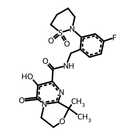 CC1(C)OCCn2c1nc(C(=O)NCc1ccc(F)cc1N1CCCCS1(=O)=O)c(O)c2=O